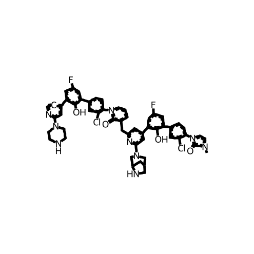 Cn1ccn(-c2ccc(-c3cc(F)cc(-c4cc(Cc5cccn(-c6ccc(-c7cc(F)cc(-c8ccnc(N9CCNCC9)c8)c7O)cc6Cl)c5=O)nc(N5CC6CNC(C6)C5)c4)c3O)cc2Cl)c1=O